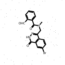 CN(Cc1n[nH]c(=O)c2cc(Br)ccc12)C(=O)c1ccccc1C=O